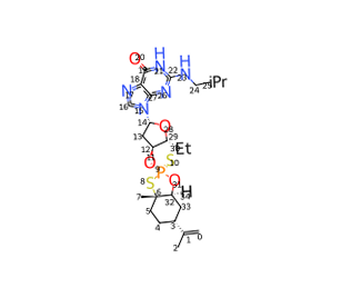 C=C(C)[C@@H]1CC[C@]2(C)S[P@](=S)(O[C@H]3C[C@H](n4cnc5c(=O)[nH]c(NCC(C)C)nc54)O[C@@H]3CC)O[C@H]2C1